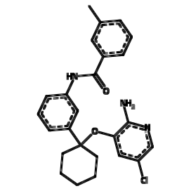 Cc1cccc(C(=O)Nc2cccc(C3(Oc4cc(Cl)cnc4N)CCCCC3)c2)c1